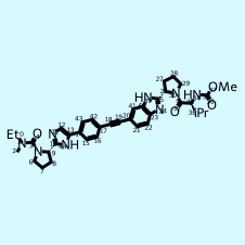 CCN(C)C(=O)N1CCC[C@H]1c1ncc(-c2ccc(C#Cc3ccc4nc([C@@H]5CCCN5C(=O)[C@@H](NC(=O)OC)C(C)C)[nH]c4c3)cc2)[nH]1